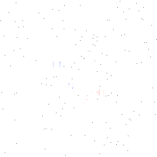 O=C(O)CC1(N2CCC(N[C@@H]3C[C@H]3c3ccccc3)CC2)CCC1